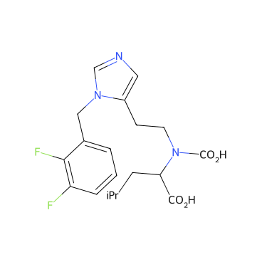 CC(C)CC(C(=O)O)N(CCc1cncn1Cc1cccc(F)c1F)C(=O)O